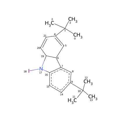 CC(C)(C)C1=CC2c3cc(C(C)(C)C)ccc3N(I)C2C=C1